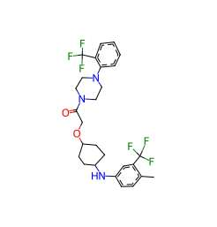 Cc1ccc(NC2CCC(OCC(=O)N3CCN(c4ccccc4C(F)(F)F)CC3)CC2)cc1C(F)(F)F